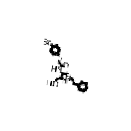 O=C(CSc1ccc(Br)cc1)NC1CN(CCc2ccccc2)N=C1CO